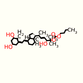 C=C1/C(=C\C=C2/CCC[C@]3(C)[C@@H]([C@H](C)/C=C/[C@@H](O)C(C)(C)OC(=O)OCCCC)CC[C@@H]23)CC(O)CC1O